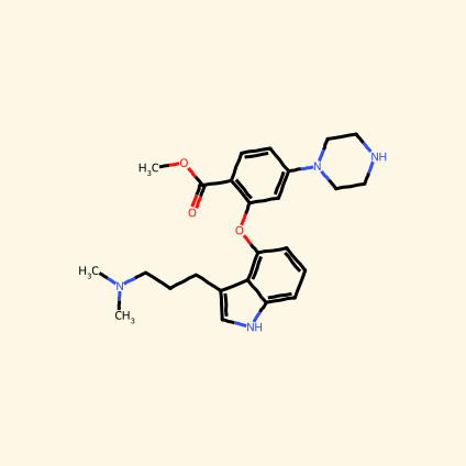 COC(=O)c1ccc(N2CCNCC2)cc1Oc1cccc2[nH]cc(CCCN(C)C)c12